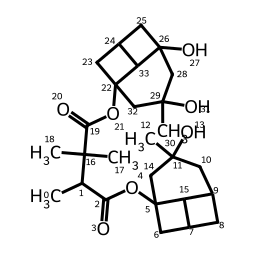 CC(C(=O)OC12CC3CC(CC(C)(O)C1)C32)C(C)(C)C(=O)OC12CC3CC(O)(CC(C)(O)C1)C32